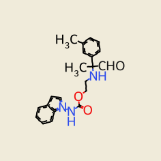 Cc1cccc(C(C)(C=O)NCCOC(=O)Nn2ccc3ccccc32)c1